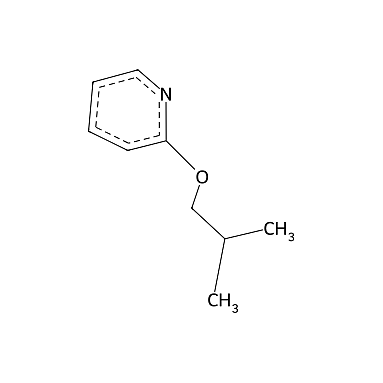 CC(C)COc1ccccn1